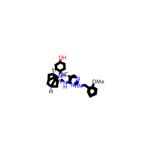 COc1ccccc1CNc1ncc(C#N)c(NC[C@@]23CC4C[C@H](C2)[C@@H](NC2CCC(O)CC2)[C@@H](C4)C3)n1